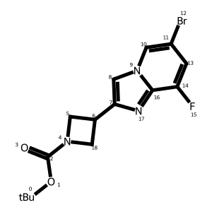 CC(C)(C)OC(=O)N1CC(c2cn3cc(Br)cc(F)c3n2)C1